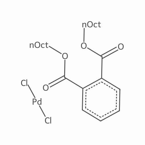 CCCCCCCCOC(=O)c1ccccc1C(=O)OCCCCCCCC.[Cl][Pd][Cl]